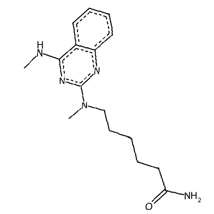 CNc1nc(N(C)CCCCCC(N)=O)nc2ccccc12